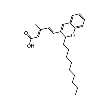 CCCCCCCCCC1Oc2ccccc2C=C1C=CC(C)=CC(=O)O